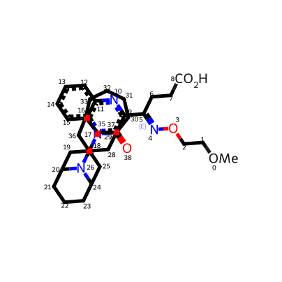 COCCO/N=C(\CCC(=O)O)c1nc2ccccc2n(C2CC3CCCC(C2)N3C2CC3CCCCC(C3)C2)c1=O